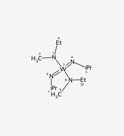 CC[N](C)[W](=[N]C(C)C)(=[N]C(C)C)[N](C)CC